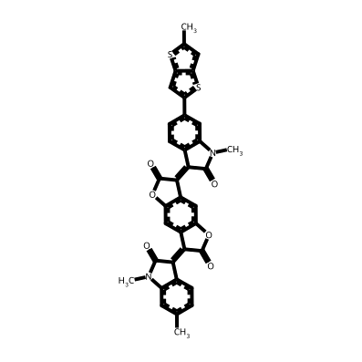 Cc1ccc2c(c1)N(C)C(=O)/C2=C1/C(=O)Oc2cc3c(cc21)OC(=O)/C3=C1/C(=O)N(C)c2cc(-c3cc4sc(C)cc4s3)ccc21